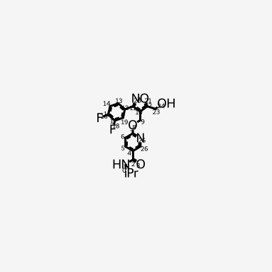 CC(C)NC(=O)c1ccc(OCc2c(-c3ccc(F)c(F)c3)noc2CO)nc1